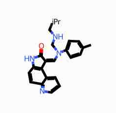 Cc1ccc(N(C=C2C(=O)Nc3ccc4ncccc4c32)CNCC(C)C)cc1